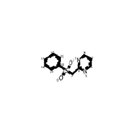 O=S(=O)(Cc1ncccn1)c1c[c]ccc1